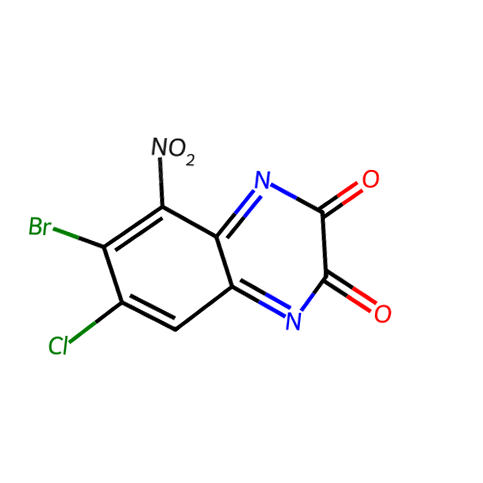 O=C1N=c2cc(Cl)c(Br)c([N+](=O)[O-])c2=NC1=O